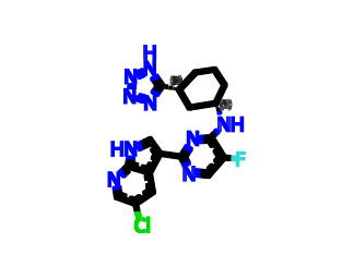 Fc1cnc(-c2c[nH]c3ncc(Cl)cc23)nc1N[C@H]1CCC[C@@H](c2nnn[nH]2)C1